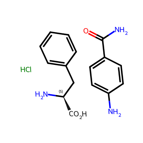 Cl.NC(=O)c1ccc(N)cc1.N[C@@H](Cc1ccccc1)C(=O)O